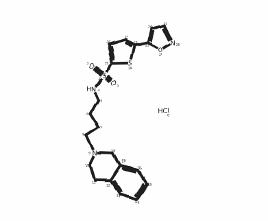 Cl.O=S(=O)(NCCCCN1CCc2ccccc2C1)c1ccc(-c2ccno2)s1